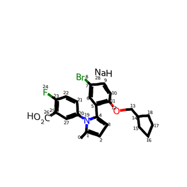 Cc1ccc(-c2cc(Br)ccc2OCC2CCCC2)n1-c1ccc(F)c(C(=O)O)c1.[NaH]